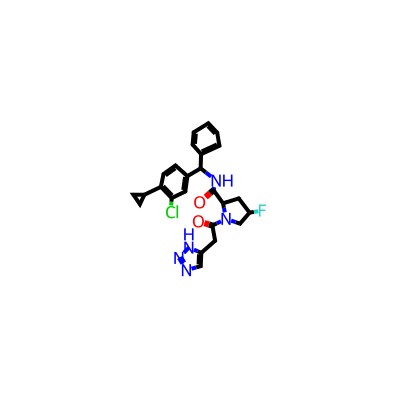 O=C(NC(c1ccccc1)c1ccc(C2CC2)c(Cl)c1)C1CC(F)CN1C(=O)Cc1cnn[nH]1